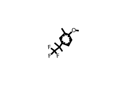 COc1ccc(C(C)(C)C(F)(F)F)cc1C